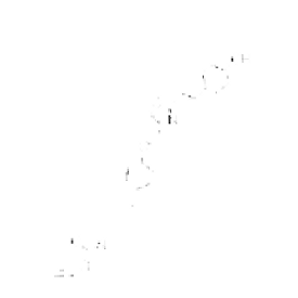 Cc1ccc(/C=C/c2nc(COc3ccc(CCCCNC(=O)OC(C)(C)C)cc3)co2)cc1